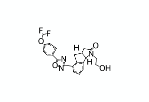 O=C1C[C@@H]2Cc3c(-c4noc(-c5ccc(OC(F)F)cc5)n4)cccc3[C@@H]2N1CCO